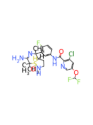 CC1(C)C(N)=N[C@](C)(c2cc(NC(=O)c3ncc(OC(F)F)cc3Cl)ccc2F)[C@@H]2CCN[SH]21=O